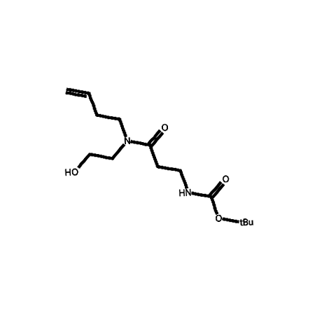 C=CCCN(CCO)C(=O)CCNC(=O)OC(C)(C)C